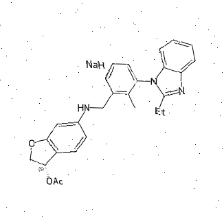 CCc1nc2ccccc2n1-c1cccc(CNc2ccc3c(c2)OC[C@H]3OC(C)=O)c1C.[NaH]